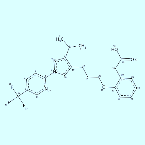 CC(C)c1nn(-c2ccc(C(F)(F)F)cn2)cc1CCCOc1ccccc1CC(=O)O